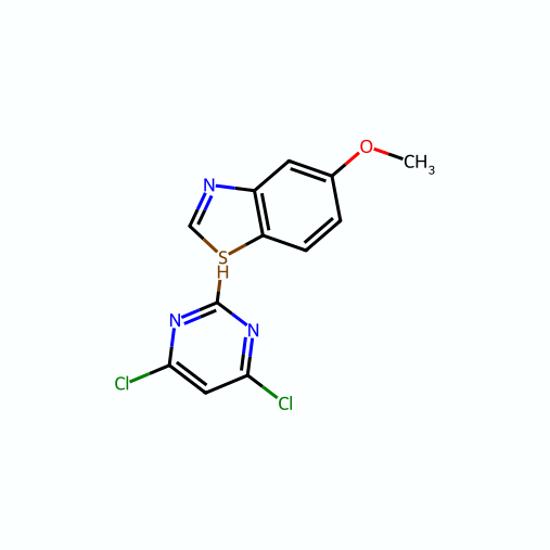 COc1ccc2c(c1)N=C[SH]2c1nc(Cl)cc(Cl)n1